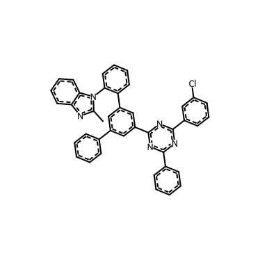 Cc1nc2ccccc2n1-c1ccccc1-c1cc(-c2ccccc2)cc(-c2nc(-c3ccccc3)nc(-c3cccc(Cl)c3)n2)c1